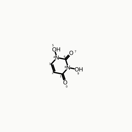 O=c1ccn(O)c(=O)n1O